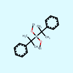 CCO[Si](OCC)(C(C)(C)c1ccccc1)C(C)(C)c1ccccc1